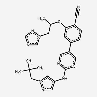 CC(Cn1cncn1)Oc1cc(-c2cnc(Nc3cnn(CC(C)(C)C)c3)nc2)ccc1C#N